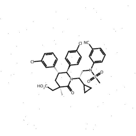 C[C@]1(CC(=O)O)C[C@H](c2cccc(Cl)c2)[C@@H](c2ccc(Cl)cc2)N([C@H](CN(c2cccc(C#N)c2)S(C)(=O)=O)C2CC2)C1=O